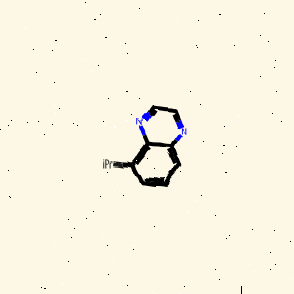 CC(C)c1cccc2nccnc12